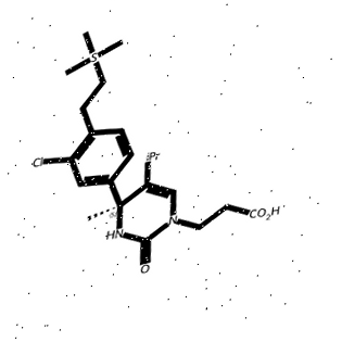 CC(C)C1=CN(CCC(=O)O)C(=O)N[C@@]1(C)c1ccc(CCS(C)(C)C)c(Cl)c1